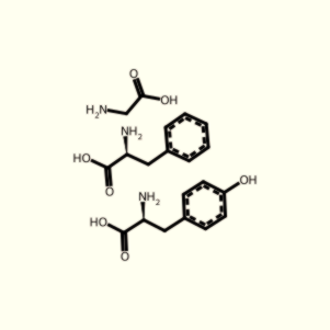 NCC(=O)O.N[C@@H](Cc1ccc(O)cc1)C(=O)O.N[C@@H](Cc1ccccc1)C(=O)O